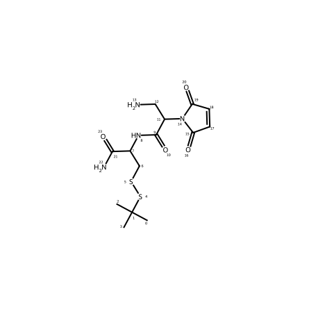 CC(C)(C)SSCC(NC(=O)C(CN)N1C(=O)C=CC1=O)C(N)=O